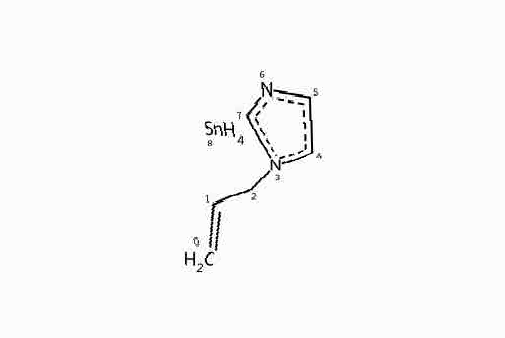 C=CCn1ccnc1.[SnH4]